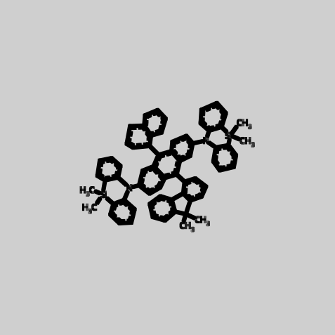 CC1(C)c2ccccc2-c2c(-c3c4cc(N5c6ccccc6[Si](C)(C)c6ccccc65)ccc4c(-c4cccc5ccccc45)c4cc(N5c6ccccc6[Si](C)(C)c6ccccc65)ccc34)cccc21